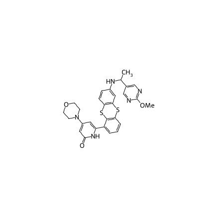 COc1ncc(C(C)Nc2ccc3c(c2)Sc2cccc(-c4cc(N5CCOCC5)cc(=O)[nH]4)c2S3)cn1